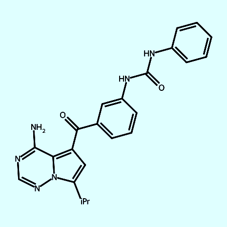 CC(C)c1cc(C(=O)c2cccc(NC(=O)Nc3ccccc3)c2)c2c(N)ncnn12